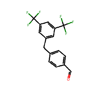 O=Cc1ccc(Cc2cc(C(F)(F)F)cc(C(F)(F)F)c2)cc1